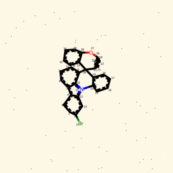 Brc1ccc2c3cccc4c3n(c2c1)-c1ccccc1C41c2ccccc2Oc2ccccc21